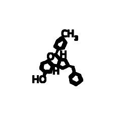 Cc1ccc([C@@H]2Oc3ccc(O)cc3[C@@H]3C[C@H](Cc4ccccc4)C[C@@H]32)cc1